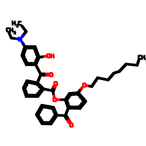 CCCCCCCCOc1ccc(C(=O)c2ccccc2)c(OC(=O)c2ccccc2C(=O)c2ccc(N(CC)CC)cc2O)c1